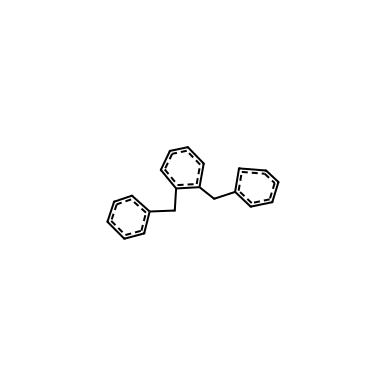 c1ccc(Cc2ccccc2Cc2ccccc2)cc1